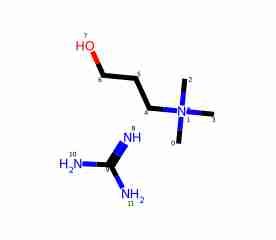 C[N+](C)(C)CCCO.N=C(N)N